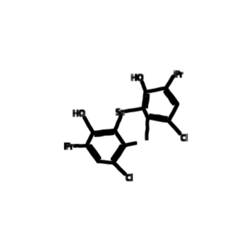 Cc1c(Cl)cc(C(C)C)c(O)c1[Se]c1c(C)c(Cl)cc(C(C)C)c1O